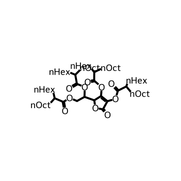 CCCCCCCCC(CCCCCC)C(=O)OCC(OC(=O)C(CCCCCC)CCCCCCCC)C1OC(=O)C(OC(=O)C(CCCCCC)CCCCCCCC)=C1OC(=O)C(CCCCCC)CCCCCCCC